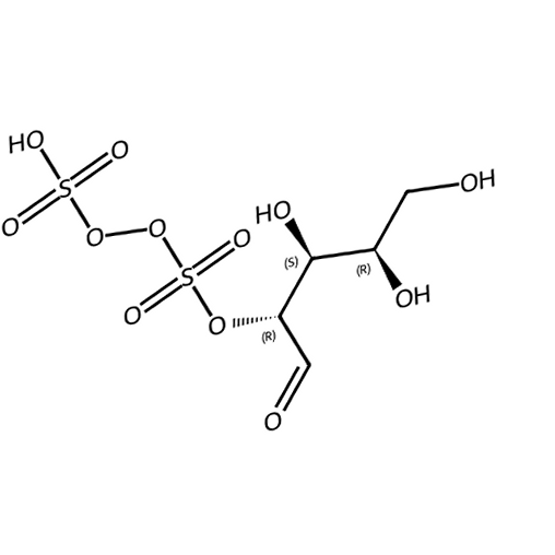 O=C[C@H](OS(=O)(=O)OOS(=O)(=O)O)[C@@H](O)[C@H](O)CO